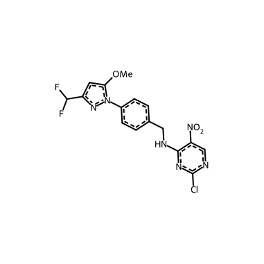 COc1cc(C(F)F)nn1-c1ccc(CNc2nc(Cl)ncc2[N+](=O)[O-])cc1